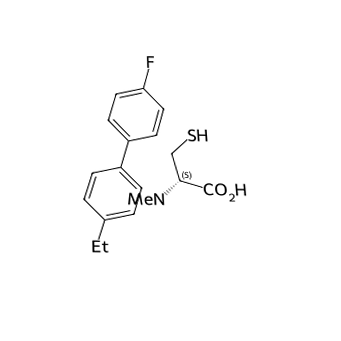 CCc1ccc(-c2ccc(F)cc2)cc1.CN[C@H](CS)C(=O)O